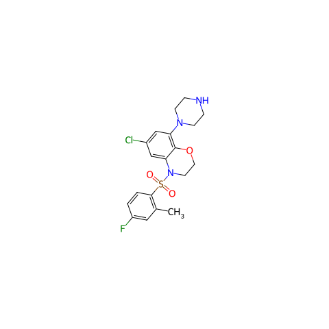 Cc1cc(F)ccc1S(=O)(=O)N1CCOc2c(N3CCNCC3)cc(Cl)cc21